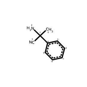 CC(N)(C#N)c1ccccc1